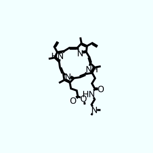 C=CC1=C(C)c2cc3[nH]c(cc4nc(cc5[nH]c(cc1n2)c(C)c5CCC(=O)NCCN(C)C)C(CCC(=O)OC)=C4C)c(C)c3C=C